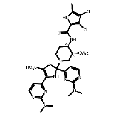 CO[C@H]1CN(C2(c3ccnc(N(C)C)n3)NC(c3ccnc(N(C)C)n3)=C(C(=O)O)S2)CC[C@H]1NC(=O)c1[nH]c(C)c(Cl)c1Cl